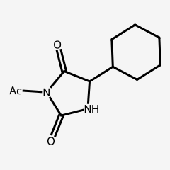 CC(=O)N1C(=O)NC(C2CCCCC2)C1=O